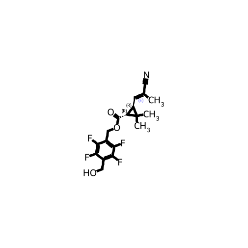 C/C(C#N)=C\[C@@H]1[C@@H](C(=O)OCc2c(F)c(F)c(CO)c(F)c2F)C1(C)C